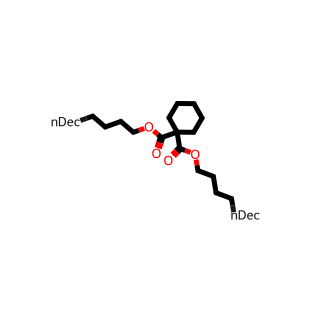 CCCCCCCCCCCCCCOC(=O)C1(C(=O)OCCCCCCCCCCCCCC)CCCCC1